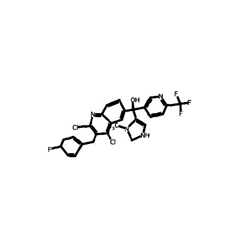 CN1CNC=C1C(O)(c1ccc(C(F)(F)F)nc1)c1ccc2nc(Cl)c(CC3=CCC(F)C=C3)c(Cl)c2c1